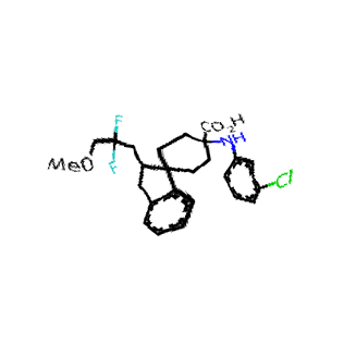 COCC(F)(F)CC1Cc2ccccc2C12CCC(Nc1cccc(Cl)c1)(C(=O)O)CC2